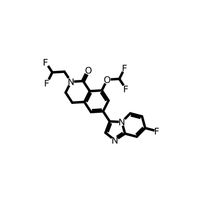 O=C1c2c(cc(-c3cnc4cc(F)ccn34)cc2OC(F)F)CCN1CC(F)F